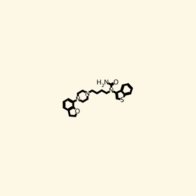 NC(=O)N(CCCCN1CCN(c2cccc3c2OCC3)CC1)c1csc2ccccc12